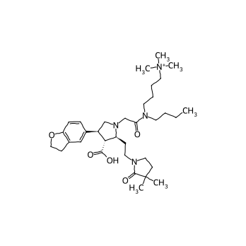 CCCCN(CCCC[N+](C)(C)C)C(=O)CN1C[C@H](c2ccc3c(c2)CCO3)[C@@H](C(=O)O)[C@@H]1CCN1CCC(C)(C)C1=O